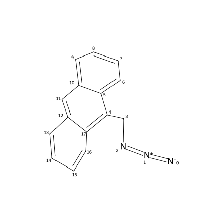 [N-]=[N+]=NCc1c2ccccc2cc2ccccc12